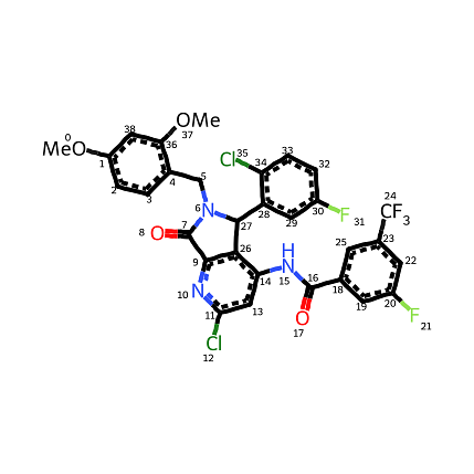 COc1ccc(CN2C(=O)c3nc(Cl)cc(NC(=O)c4cc(F)cc(C(F)(F)F)c4)c3C2c2cc(F)ccc2Cl)c(OC)c1